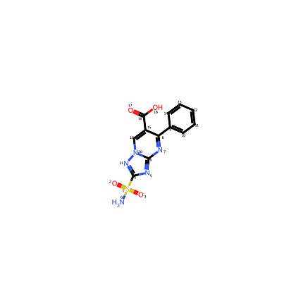 NS(=O)(=O)c1nc2nc(-c3ccccc3)c(C(=O)O)cn2n1